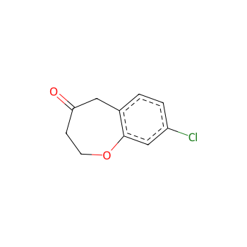 O=C1CCOc2cc(Cl)ccc2C1